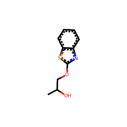 CC(O)COc1nc2ccccc2s1